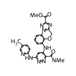 CNC(=O)c1nnc(Nc2ccc(C)cn2)cc1Nc1cccc2c1OCc1nc(C(=O)OC)nn1-2